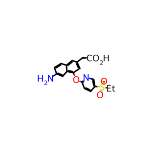 CCS(=O)(=O)c1ccc(Oc2cc(CC(=O)O)cc3ccc(N)cc23)nc1